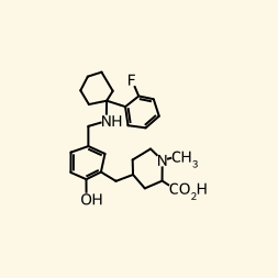 CN1CCC(Cc2cc(CNC3(c4ccccc4F)CCCCC3)ccc2O)CC1C(=O)O